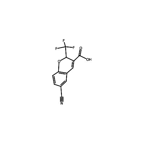 N#Cc1ccc2c(c1)C=C(C(=O)O)C(C(F)(F)F)O2